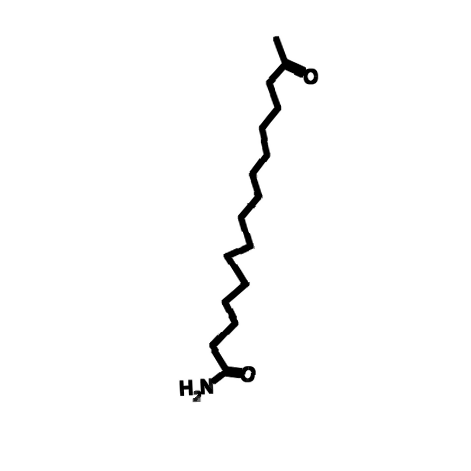 CC(=O)CCCCCCCCCCCCCC(N)=O